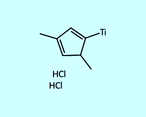 CC1=CC(C)[C]([Ti])=C1.Cl.Cl